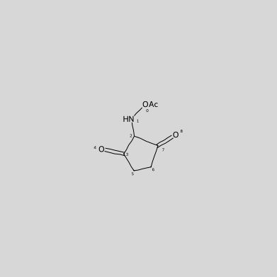 CC(=O)ONC1C(=O)CCC1=O